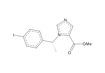 COC(=O)c1cncn1[C@H](C)c1ccc(I)cc1